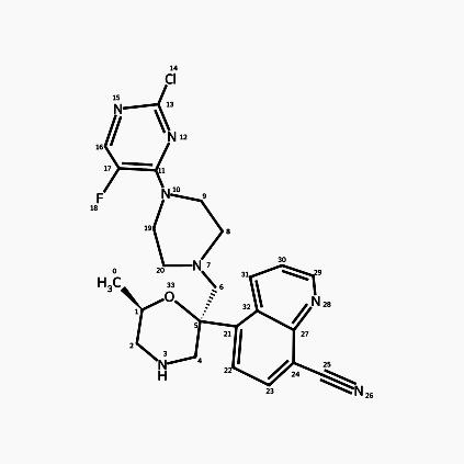 C[C@@H]1CNC[C@](CN2CCN(c3nc(Cl)ncc3F)CC2)(c2ccc(C#N)c3ncccc23)O1